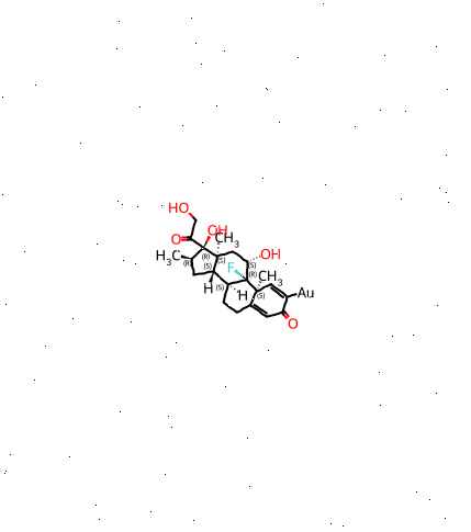 C[C@@H]1C[C@H]2[C@@H]3CCC4=CC(=O)[C]([Au])=C[C@]4(C)[C@@]3(F)[C@@H](O)C[C@]2(C)[C@@]1(O)C(=O)CO